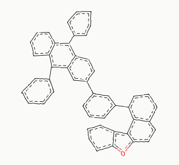 c1ccc(-c2c3ccccc3c(-c3ccccc3)c3cc(-c4cccc(-c5cccc6ccc7oc8ccccc8c7c56)c4)ccc23)cc1